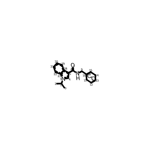 CC(C)n1cc(C(=O)NCC23CCC(CC2)CC3)c2ccccc21